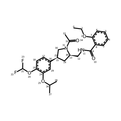 CCOc1ccccc1C(=O)NC[C@H]1C[C@@H](c2ccc(OC(F)F)c(OC(C)C)c2)CN1C(C)=O